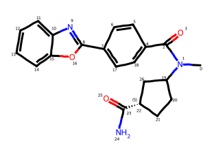 CN(C(=O)c1ccc(-c2nc3ccccc3o2)cc1)C1CC[C@H](C(N)=O)C1